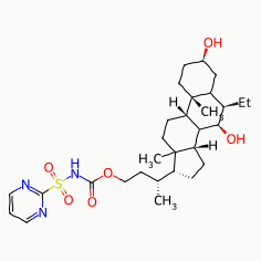 CC[C@@H]1C2C[C@H](O)CC[C@@]2(C)[C@H]2CCC3(C)[C@@H]([C@H](C)CCOC(=O)NS(=O)(=O)c4ncccn4)CC[C@H]3C2[C@@H]1O